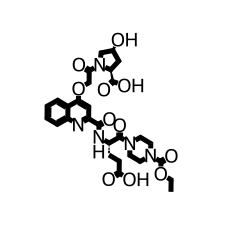 CCOC(=O)N1CCN(C(=O)[C@H](CCC(=O)O)NC(=O)c2cc(OCC(=O)N3C[C@@H](O)C[C@H]3C(=O)O)c3ccccc3n2)CC1